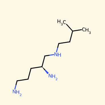 CC(C)CCNC[C@@H](N)CCCN